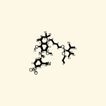 CCCOP(OCCCCN1c2cc(OC)c(/N=N/c3ccc([N+](=O)[O-])cc3C#N)c(OC)c2C(C)=CC1(C)C)C(C(C)C)C(C)C